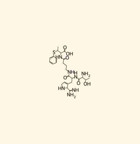 CC(O)C(N)C(=O)NC(CC1=CCNC1C(=N)N)C(=O)NCCCC(=O)NC(C(=O)O)C(C)Sc1ccccc1